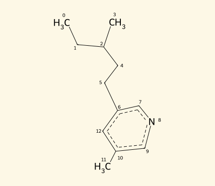 CCC(C)CCc1cncc(C)c1